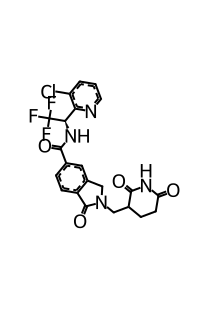 O=C1CCC(CN2Cc3cc(C(=O)N[C@H](c4ncccc4Cl)C(F)(F)F)ccc3C2=O)C(=O)N1